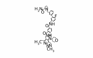 CCc1nc2c(cnn2CC)c(NC2CCOCC2)c1CNC(=O)c1cccc(C(=O)NCc2ccc(F)c(-c3cccc(CN4CCC[C@@H]4C(N)=O)c3)c2)c1